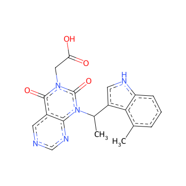 Cc1cccc2[nH]cc(C(C)n3c(=O)n(CC(=O)O)c(=O)c4cncnc43)c12